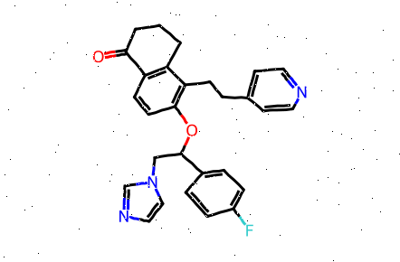 O=C1CCCc2c1ccc(OC(Cn1ccnc1)c1ccc(F)cc1)c2CCc1ccncc1